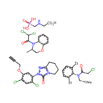 C#CCOc1cc(-n2nc3n(c2=O)CCCC3)c(Cl)cc1Cl.CC1COc2ccccc2N1C(=O)C(Cl)Cl.CCc1cccc(CC)c1N(COC)C(=O)CCl.O=C(O)CNCP(=O)(O)O